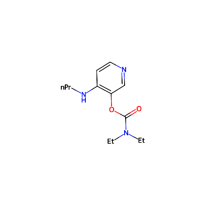 CCCNc1ccncc1OC(=O)N(CC)CC